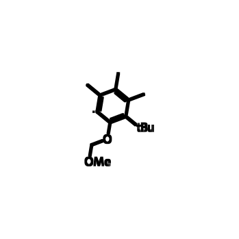 COCOc1[c]c(C)c(C)c(C)c1C(C)(C)C